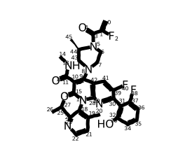 C=C(F)C(=O)N1CCN(c2c(C(=O)NC)c(=O)n(-c3c(C)ccnc3C(C)C)c3nc(-c4c(O)cccc4F)c(F)cc23)C[C@H]1C